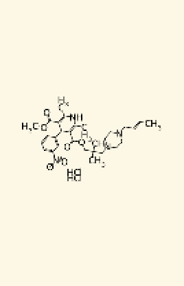 C/C=C/CN1CCN(CC(C)(C)COC(=O)C2=C(C)NC(C)=C(C(=O)OC)C2c2cccc([N+](=O)[O-])c2)CC1.Cl.Cl